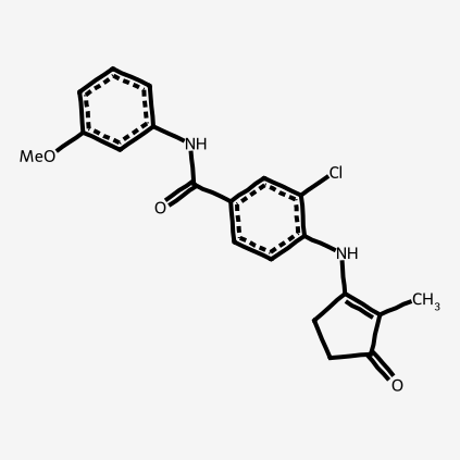 COc1cccc(NC(=O)c2ccc(NC3=C(C)C(=O)CC3)c(Cl)c2)c1